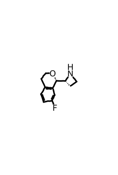 Fc1ccc2c(c1)[C@@H]([C@H]1CCN1)OCC2